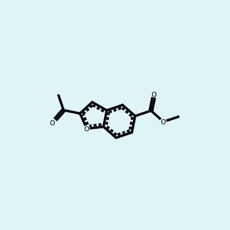 COC(=O)c1ccc2oc(C(C)=O)cc2c1